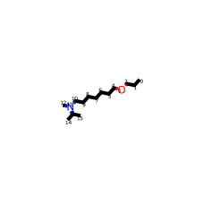 CCCOCCCCCCCN(C)C(C)C